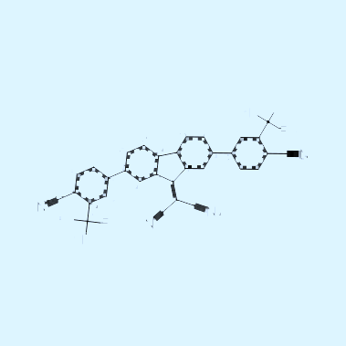 N#CC(C#N)=C1c2cc(-c3ccc(C#N)c(C(F)(F)F)c3)ccc2-c2ccc(-c3ccc(C#N)c(C(F)(F)F)c3)cc21